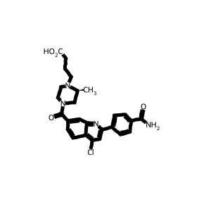 C[C@@H]1CN(C(=O)c2ccc3c(Cl)cc(-c4ccc(C(N)=O)cc4)nc3c2)CCN1CCCC(=O)O